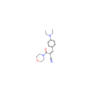 CCN(CC)c1ccc(C=C(C#N)C(=O)N2CCOCC2)cc1